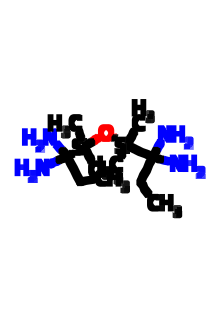 CCC(N)(N)[Si](C)(C)O[Si](C)(C)C(N)(N)CC